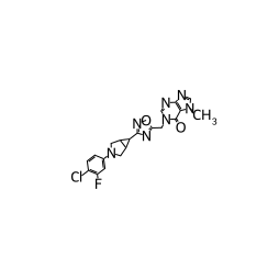 Cn1cnc2ncn(Cc3nc(C4C5CN(c6ccc(Cl)c(F)c6)CC54)no3)c(=O)c21